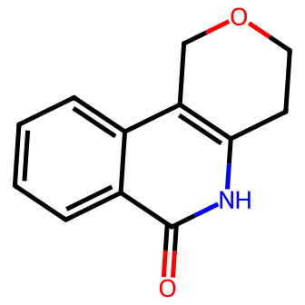 O=c1[nH]c2c(c3ccccc13)COCC2